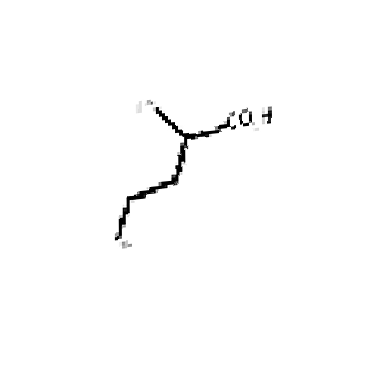 CC(C)CCC(C(=O)O)C(C)C